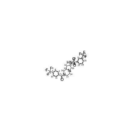 O=C(c1ccc(C(F)(F)F)cc1)N1CCN2CC(NS(=O)(=O)c3cccc(C(F)(F)F)c3)CC2C1